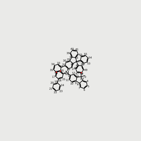 CC1(C)c2ccccc2-c2ccc(N(c3cccc(-c4ccccc4)c3)c3cc4c(cc3-c3ccccc3)-c3ccccc3C4(c3ccccc3)c3ccccc3)cc21